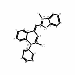 CCC1=N/C(=C\c2sc3ccccc3[n+]2C)c2ccccc2N1c1ccccc1